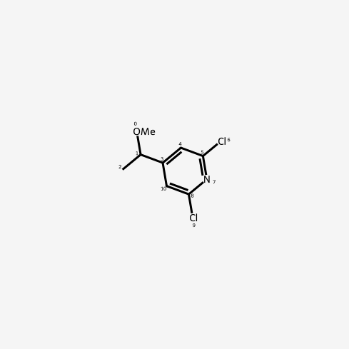 COC(C)c1cc(Cl)nc(Cl)c1